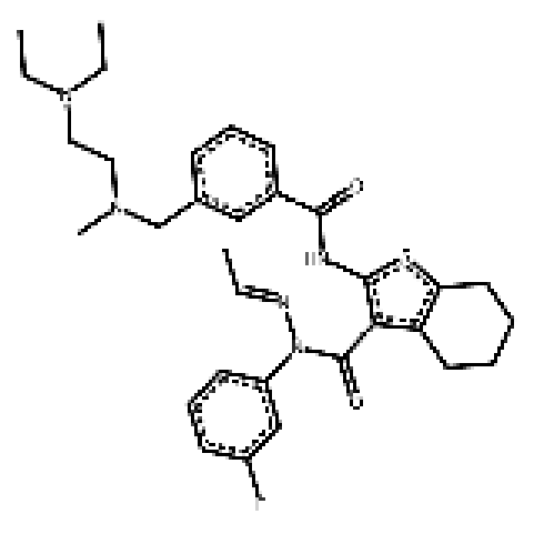 CC=NN(C(=O)c1c(NC(=O)c2cccc(CN(C)CCN(CC)CC)c2)sc2c1CCCC2)c1cccc(F)c1